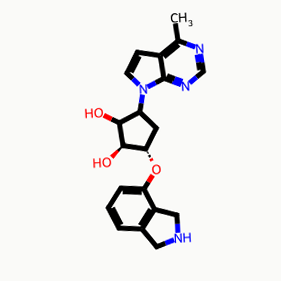 Cc1ncnc2c1ccn2C1C[C@H](Oc2cccc3c2CNC3)[C@@H](O)C1O